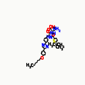 CCCCCCCOc1ccc(-c2cnc(-c3ccc(C[C@H](NC(=O)c4ccc(C(C)(C)C)s4)C(=O)N[C@H](CN)C(=O)O)cc3)nc2)cc1